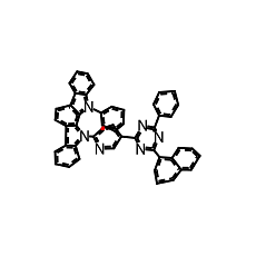 c1ccc(-c2nc(-c3ccc(-n4c5ccccc5c5ccc6c7ccccc7n(-c7ccccc7)c6c54)nc3)nc(-c3cccc4ccccc34)n2)cc1